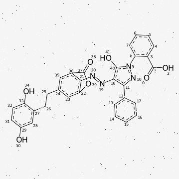 O=C(O)c1ccccc1-n1nc(-c2ccccc2)c(N=Nc2c3cc(CCc4cc(O)ccc4O)cc2C(=O)O3)c1O